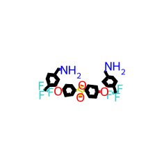 NCc1ccc(C(F)(F)F)c(Oc2ccc(S(=O)(=O)c3ccc(Oc4cc(CN)ccc4C(F)(F)F)cc3)cc2)c1